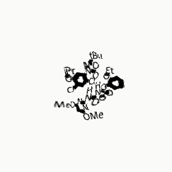 CC(C)Oc1cc(-n2nc(C(C)(C)C)oc2=O)c(Cl)cc1Cl.CCOc1ccccc1OS(=O)(=O)NC(=O)Nc1nc(OC)cc(OC)n1